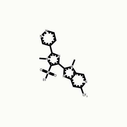 CCS(=O)(=O)c1c(-c2nc3cc(C(F)(F)F)ncc3n2C)nc(-c2ccnnc2)n1C